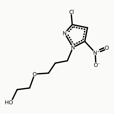 O=[N+]([O-])c1cc(Cl)nn1CCCOCCO